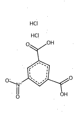 Cl.Cl.O=C(O)c1cc(C(=O)O)cc([N+](=O)[O-])c1